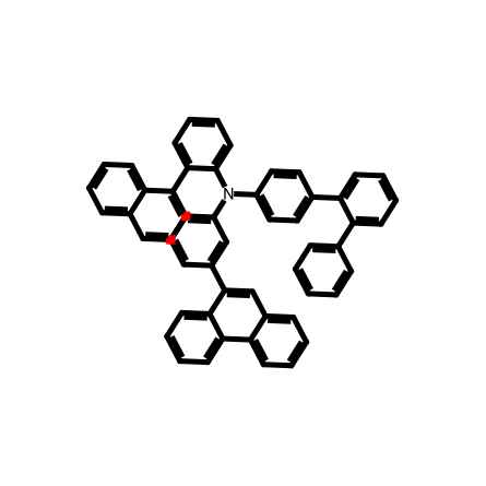 c1ccc(-c2ccccc2-c2ccc(N(c3cccc(-c4cc5ccccc5c5ccccc45)c3)c3ccccc3-c3cccc4ccccc34)cc2)cc1